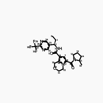 CC[C@@H](NC(=O)c1cc(C(=O)N2CCCC2C)n2c1COCC2)c1cnc(C(F)(F)F)nc1